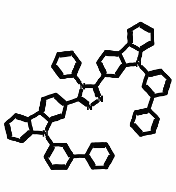 c1ccc(-c2cccc(-n3c4ccccc4c4ccc(-c5nnc(-c6ccc7c8ccccc8n(-c8cccc(-c9ccccc9)c8)c7c6)n5-c5ccccc5)cc43)c2)cc1